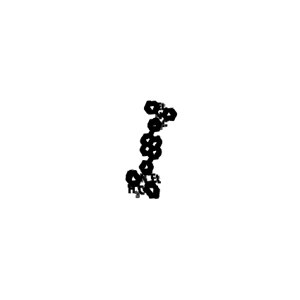 CCc1cccc(C)c1N(c1ccccc1)c1ccc(C2=CC=C3C=CC4=C(c5ccc(N(c6ccccc6)c6c(C)cccc6CC)cc5)C=CC5=CC=C2C3C54)cc1